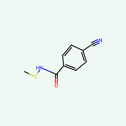 CSNC(=O)c1ccc(C#N)cc1